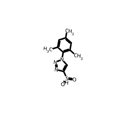 Cc1cc(C)c(-n2cc([SH](=O)=O)nn2)c(C)c1